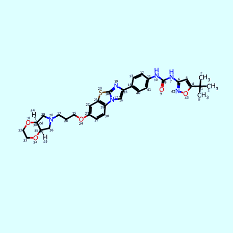 CC(C)(C)c1cc(NC(=O)Nc2ccc(-c3cn4c(n3)sc3cc(OCCCN5C[C@@H]6OCCO[C@@H]6C5)ccc34)cc2)no1